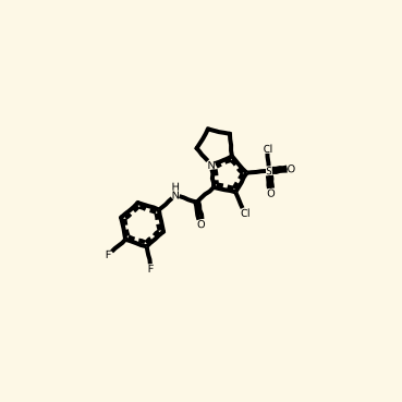 O=C(Nc1ccc(F)c(F)c1)c1c(Cl)c(S(=O)(=O)Cl)c2n1CCC2